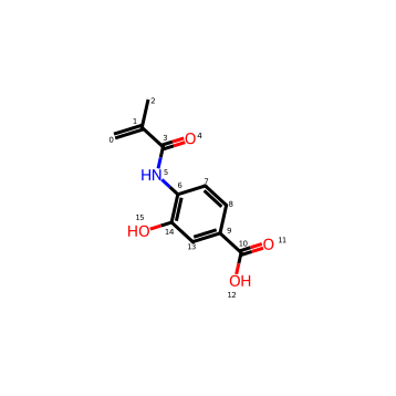 C=C(C)C(=O)Nc1ccc(C(=O)O)cc1O